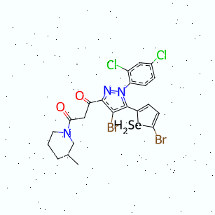 CC1CCCN(C(=O)CC(=O)c2nn(-c3ccc(Cl)cc3Cl)c(C3=CC=C(Br)[SeH2]3)c2Br)C1